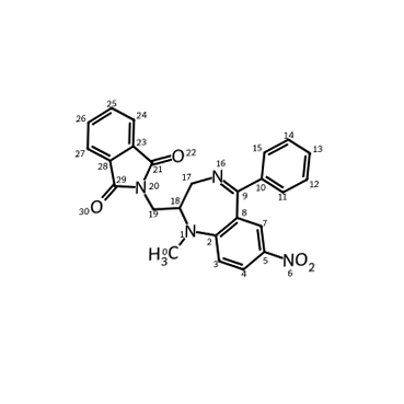 CN1c2ccc([N+](=O)[O-])cc2C(c2ccccc2)=NCC1CN1C(=O)c2ccccc2C1=O